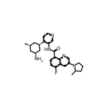 CC1CCCN1c1cnc2c(C(=O)Nc3cnccc3[C@@H]3C[C@H](C)C[C@H](N)C3)ccc(F)c2c1